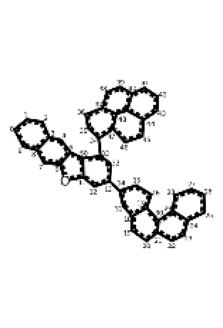 c1ccc2cc3c(cc2c1)oc1cc(-c2ccc4c(ccc5ccc6ccccc6c54)c2)cc(-c2ccc4ccc5cccc6ccc2c4c56)c13